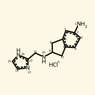 Cl.Nc1ccc2c(c1)CC(NCc1ncc[nH]1)C2